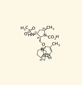 Cc1cnc([C@@]23CC[C@H](OC[C@H]4[C@@H](NS(C)(=O)=O)C[C@@H](C)N4C(=O)O)C[C@@H]2C3)nc1